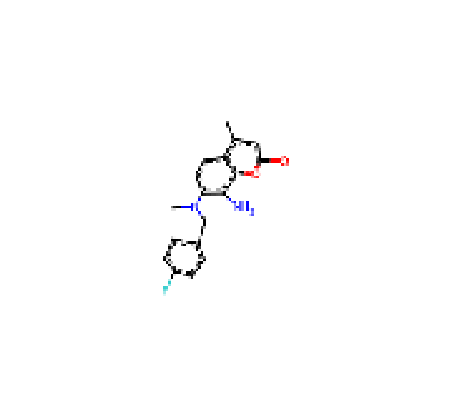 Cc1cc(=O)oc2c(N)c(N(C)Cc3ccc(F)cc3)ccc12